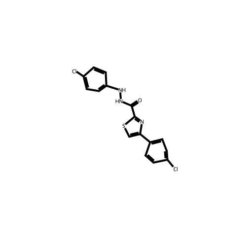 O=C(NNc1ccc(Cl)cc1)c1nc(-c2ccc(Cl)cc2)cs1